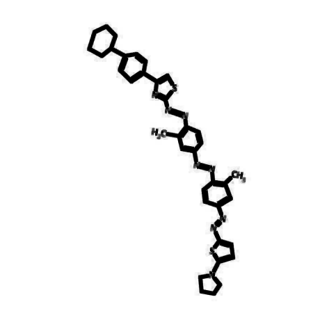 Cc1cc(/N=N/c2ccc(N3CCCC3)s2)ccc1/N=N/c1ccc(/N=N/c2nc(-c3ccc(C4CCCCC4)cc3)cs2)c(C)c1